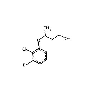 CC(CCO)Oc1cccc(Br)c1Cl